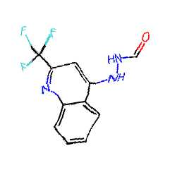 O=CNNc1cc(C(F)(F)F)nc2ccccc12